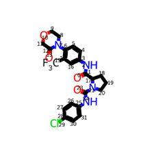 O=C(Nc1ccc(N2CCOCC2=O)c(C(F)(F)F)c1)C1CCCN1C(=O)Nc1ccc(Cl)cc1